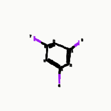 Ic1cc(I)cc(I)c1